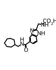 O=C(O)NCc1nc2cc(C(=O)NCC3CCCCCC3)ccc2[nH]1